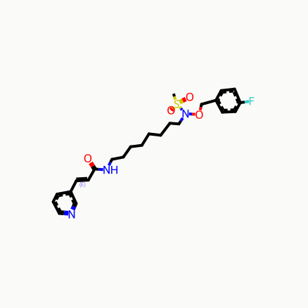 CS(=O)(=O)N(CCCCCCCCNC(=O)/C=C/c1cccnc1)OCc1ccc(F)cc1